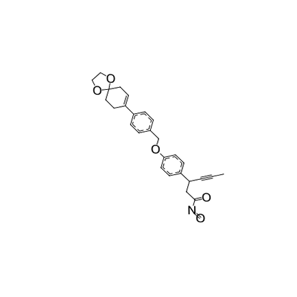 CC#CC(CC(=O)N=O)c1ccc(OCc2ccc(C3=CCC4(CC3)OCCO4)cc2)cc1